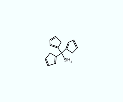 [SiH3]C(C1=CC=CC1)(C1=CC=CC1)C1=CC=CC1